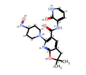 CC1(C)Cc2cc(C(=O)Nc3ccc[nH]c3=O)c(N3CCC(N=O)CC3)nc2O1